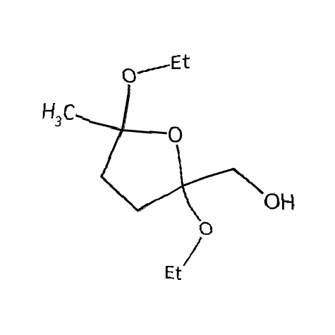 CCOC1(C)CCC(CO)(OCC)O1